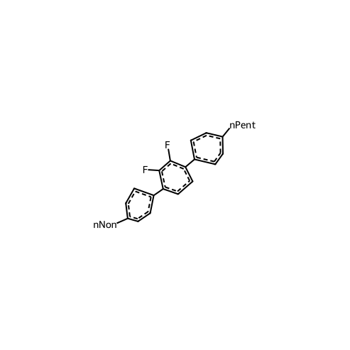 CCCCCCCCCc1ccc(-c2ccc(-c3ccc(CCCCC)cc3)c(F)c2F)cc1